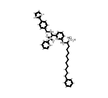 Cl.O=C(O)C(CCCCCCCCCCc1ccccc1)Nc1cccc(C(NCc2ccc(-c3nccs3)cc2)S(=O)(=O)c2ccccn2)n1